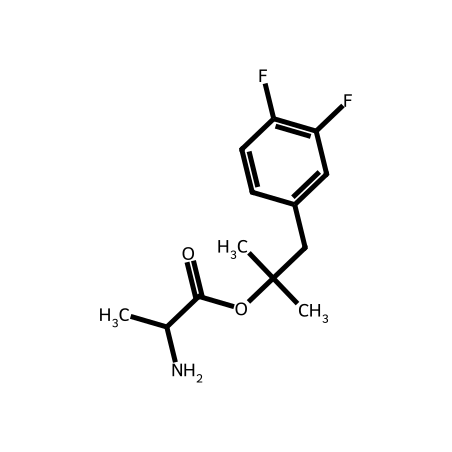 CC(N)C(=O)OC(C)(C)Cc1ccc(F)c(F)c1